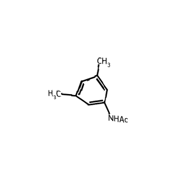 CC(=O)Nc1cc(C)cc(C)c1